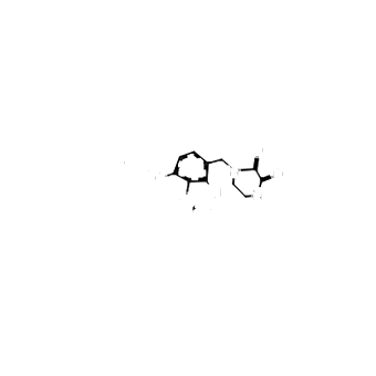 COc1ccc(CN2CCNC(=O)C2=O)c(Cl)c1OC